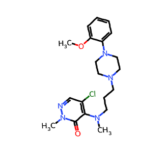 COc1ccccc1N1CCN(CCCN(C)c2c(Cl)cnn(C)c2=O)CC1